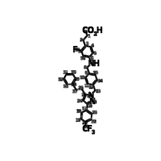 O=C(O)CCc1ccc(NCc2ccc(Cn3nc(-c4ccc(C(F)(F)F)cc4)cc3CCc3ccccc3)cc2)cc1F